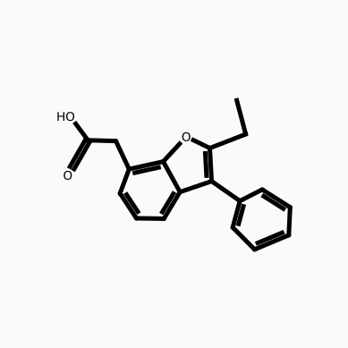 CCc1oc2c(CC(=O)O)cccc2c1-c1ccccc1